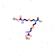 CC(=O)[C@H](C)N(CCOCCNC(=O)OC(C)(C)C)CCOCCNC(=O)OC(C)(C)C